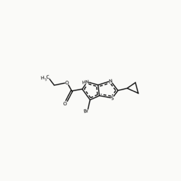 CCOC(=O)c1[nH]c2nc(C3CC3)sc2c1Br